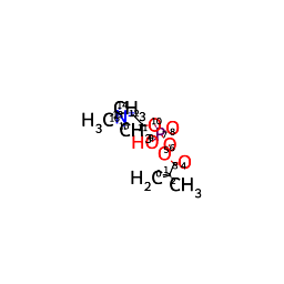 C=C(C)C(=O)OOP(=O)(O)OCC[N+](C)(C)C